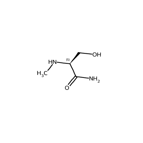 CN[C@@H](CO)C(N)=O